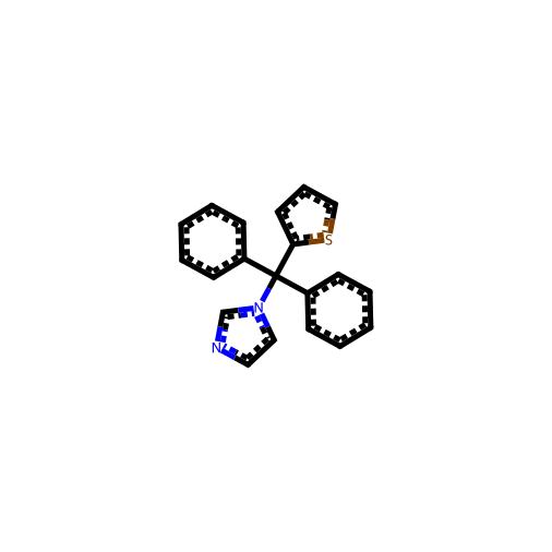 c1ccc(C(c2ccccc2)(c2cccs2)n2ccnc2)cc1